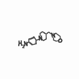 Nc1ccc(N2CCC(CN3CCOCC3)CC2)cc1